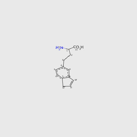 NC(CCc1ccc2c(c1)C=CC2)C(=O)O